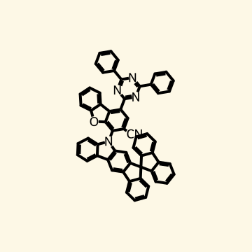 N#Cc1cc(-c2nc(-c3ccccc3)nc(-c3ccccc3)n2)c2c(oc3ccccc32)c1-n1c2ccccc2c2cc3c(cc21)C1(c2ccccc2-c2ccccc21)c1ccccc1-3